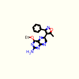 CCOc1nc(N)nc2ncc(-c3c(-c4ccccc4)noc3C)nc12